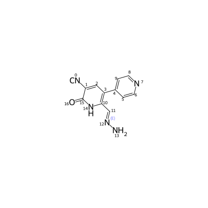 [C-]#[N+]c1cc(-c2ccncc2)c(/C=N/N)[nH]c1=O